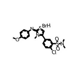 Br.COc1ccc(N=c2scc(-c3ccc(Cl)c(S(=O)(=O)N(C)C)c3)n2C)cc1